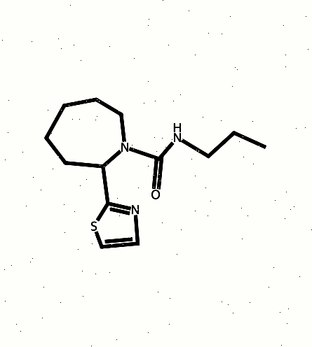 CCCNC(=O)N1CCCCCC1c1nccs1